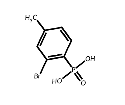 Cc1ccc(P(=O)(O)O)c(Br)c1